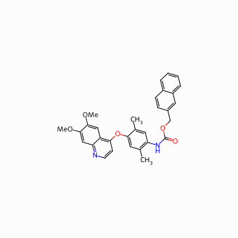 COc1cc2nccc(Oc3cc(C)c(NC(=O)OCc4ccc5ccccc5c4)cc3C)c2cc1OC